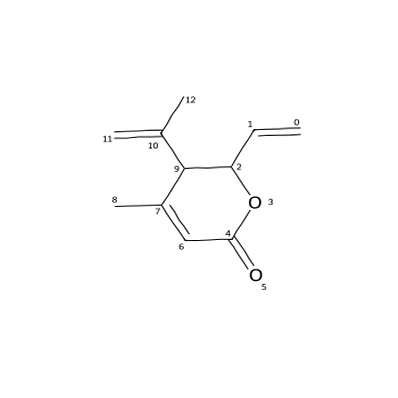 C=CC1OC(=O)C=C(C)C1C(=C)C